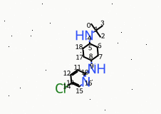 CC(C)(C)NC1CCC(Nc2ccc(Cl)cn2)CC1